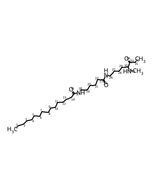 CCCCCCCCCCCCCCCC(=O)NCCCCCC(=O)NCCCCC(NC)C(=O)CC